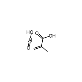 C=C(C)C(=O)O.[O]=[Al][OH]